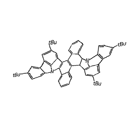 CC(C)(C)c1ccc2c(c1)c1cc(C(C)(C)C)cc3c1n2C1c2ccccc2-c2c(c4ccccc4c4c2c2cc(C(C)(C)C)cc5c6cc(C(C)(C)C)ccc6n4c52)C31